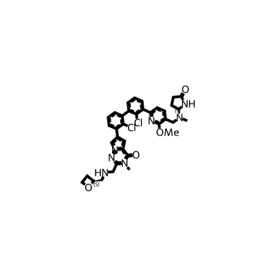 COc1nc(-c2cccc(-c3cccc(-c4cc5c(=O)n(C)c(CNC[C@@H]6CCO6)nn5c4)c3Cl)c2Cl)ccc1CN(C)[C@H]1CCC(=O)N1